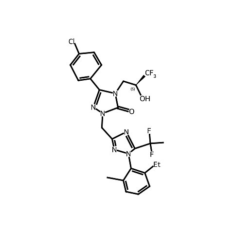 CCc1cccc(C)c1-n1nc(Cn2nc(-c3ccc(Cl)cc3)n(C[C@H](O)C(F)(F)F)c2=O)nc1C(C)(F)F